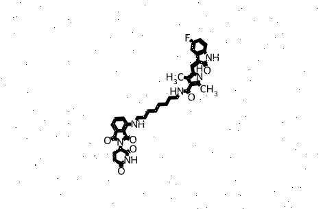 Cc1[nH]c(C=C2C(=O)Nc3ccc(F)cc32)c(C)c1C(=O)NCCCCCCCCNc1cccc2c1C(=O)N(C1CCC(=O)NC1=O)C2=O